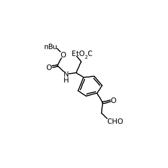 CCCCOC(=O)NC(CC(=O)OCC)c1ccc(C(=O)CC=O)cc1